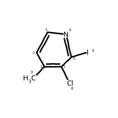 Cc1ccnc(I)c1Cl